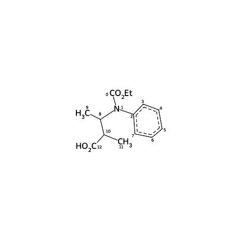 CCOC(=O)N(c1ccccc1)C(C)C(C)C(=O)O